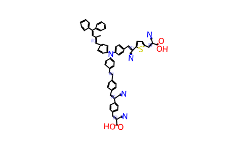 C/C(C=C(c1ccccc1)c1ccccc1)=C\c1ccc(N(c2ccc(/C=C/c3ccc(/C=C(\C#N)c4ccc(/C=C(\C#N)C(=O)O)cc4)cc3)cc2)c2ccc(/C=C(\C#N)c3ccc(/C=C(\C#N)C(=O)O)s3)cc2)cc1